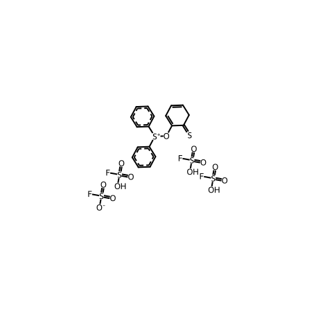 O=S(=O)(O)F.O=S(=O)(O)F.O=S(=O)(O)F.O=S(=O)([O-])F.S=C1CC=CC=C1O[S+](c1ccccc1)c1ccccc1